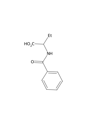 CCC(NC(=O)c1ccccc1)C(=O)O